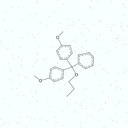 CCCOC(c1ccccc1)(c1ccc(OC)cc1)c1ccc(OC)cc1